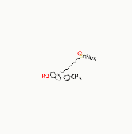 CCCCCC[S+]([O-])CCCCCCCCCC[C@H]1c2ccc(O)cc2CCC1c1ccc(C)cc1